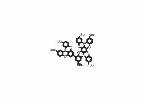 CCCCc1ccc2c(c1)B1c3cc(CCCC)ccc3Oc3cc(-c4cc(CCCC)cc5c4Oc4c6c7c(c8c4B5c4cc(CCCC)ccc4O8)Oc4ccc(CCCC)cc4B7c4cc(CCCC)ccc4O6)cc(c31)O2